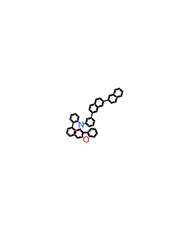 c1ccc(-c2ccccc2N(c2cccc(-c3ccc4ccc(-c5ccc6ccccc6c5)cc4c3)c2)c2cccc3oc4ccccc4c23)cc1